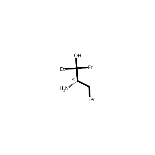 CCC(O)(CC)[C@@H](N)CC(C)C